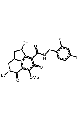 CCN1CC2CC(O)c3c(C(=O)NCc4ccc(F)cc4F)c(=O)c(OC)c(n32)C1=O